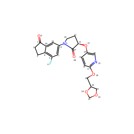 O=C1CCc2c(F)cc(N3CC[C@@H](Oc4ccc(OCC5COCO5)nc4)C3=O)cc21